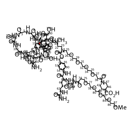 CC[C@H](C)[C@@H]1NC(=O)CNC(=O)[C@H]2Cc3c([nH]c4cc(OC(=O)N(C)CCN(CCOCCOCCOCCOCCC(=O)N5CCC(C(=O)O)CC5)C(=O)OCc5ccc(NC(=O)[C@H](CCCNC(N)=O)NC(=O)[C@@H](NC(=O)CCOCCOCCOCCOCCOC)C(C)C)cc5)ccc34)[S+]([O-])C[C@H](NC(=O)CNC1=O)C(=O)N[C@@H](CC(N)=O)C(=O)N1C[C@H](O)C[C@H]1C(=O)N[C@@H]([C@@H](C)[C@@H](O)CO)C(=O)N2